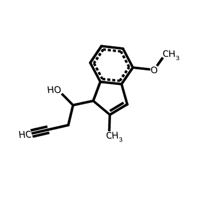 C#CCC(O)C1C(C)=Cc2c(OC)cccc21